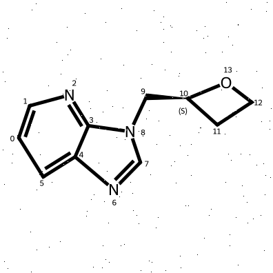 c1cnc2c(c1)ncn2C[C@@H]1CCO1